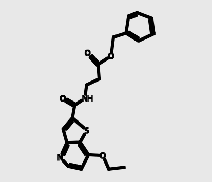 CCOc1ccnc2cc(C(=O)NCCC(=O)OCc3ccccc3)sc12